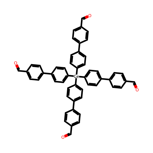 O=Cc1ccc(-c2cc[c]([Ge]([c]3ccc(-c4ccc(C=O)cc4)cc3)([c]3ccc(-c4ccc(C=O)cc4)cc3)[c]3ccc(-c4ccc(C=O)cc4)cc3)cc2)cc1